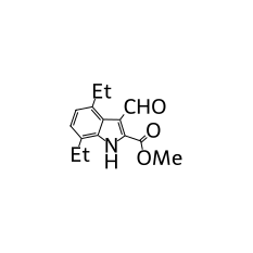 CCc1ccc(CC)c2c(C=O)c(C(=O)OC)[nH]c12